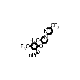 CCCOc1cc(C(F)(F)F)ccc1O[C@@H]1CCN(c2ccc(C(F)(F)F)cn2)C[C@@H]1C